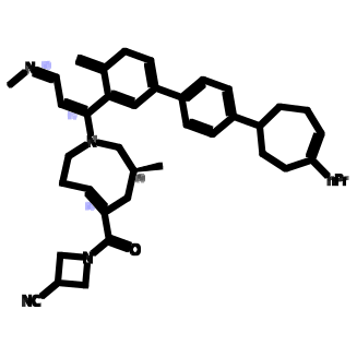 C=C1CC=C(c2ccc(C3CCC=C(CCC)CC3)cc2)C=C1/C(=C\C=N/C)N1CC/C=C(\C(=O)N2CC(C#N)C2)C[C@H](C)C1